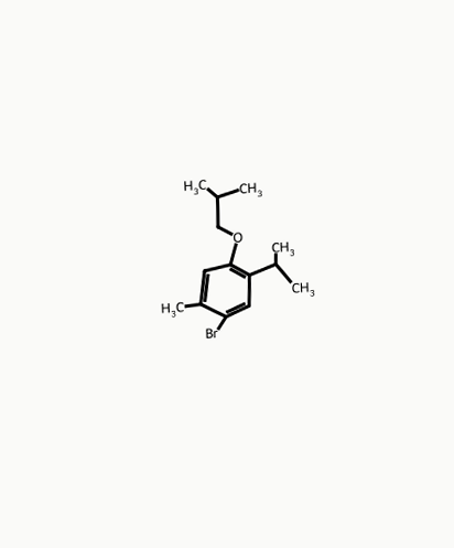 Cc1cc(OCC(C)C)c(C(C)C)cc1Br